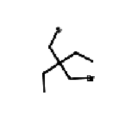 CCC(CC)(C[S])CBr